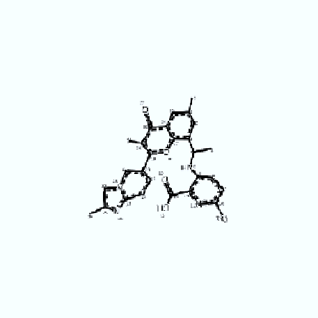 Cc1cc(C(C)Nc2ccc(Cl)nc2C(=O)O)c2oc(-c3ccc4nc(C)cn4c3)c(C)c(=O)c2c1